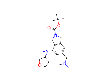 CN(C)Cc1cc2c(c(N[C@H]3CCOC3)c1)CN(C(=O)OC(C)(C)C)C2